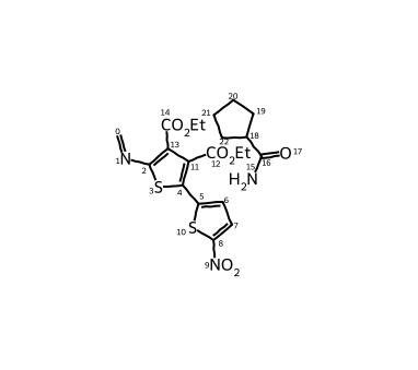 C=Nc1sc(-c2ccc([N+](=O)[O-])s2)c(C(=O)OCC)c1C(=O)OCC.NC(=O)C1CCCC1